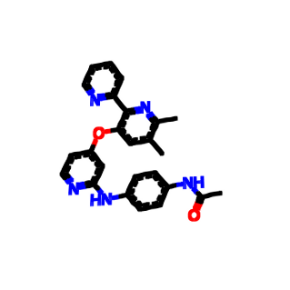 CC(=O)Nc1ccc(Nc2cc(Oc3cc(C)c(C)nc3-c3ccccn3)ccn2)cc1